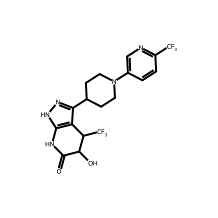 O=C1Nc2[nH]nc(C3CCN(c4ccc(C(F)(F)F)nc4)CC3)c2C(C(F)(F)F)C1O